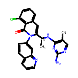 C[C@H](Nc1nc(N)ncc1C#N)c1cc2cccc(Cl)c2c(=O)n1-c1ccc2cccnc2c1